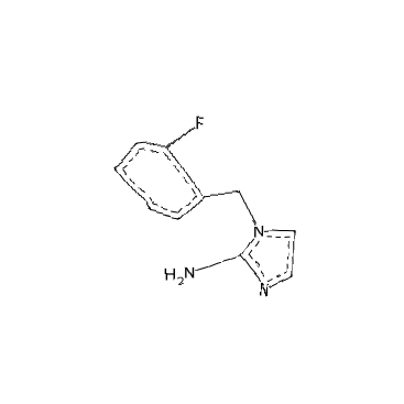 Nc1nccn1Cc1ccccc1F